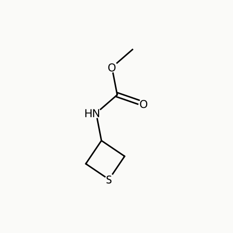 COC(=O)NC1CSC1